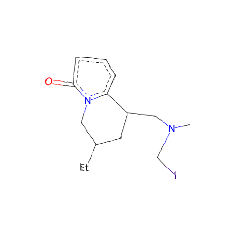 CCC1CC(CN(C)CI)c2cccc(=O)n2C1